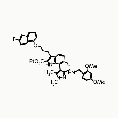 CCOC(=O)c1[nH]c2c(-c3c(CNCc4ccc(OC)cc4OC)nn(C)c3C)c(Cl)ccc2c1CCCOc1cccc2cc(F)ccc12